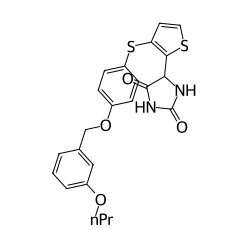 CCCOc1cccc(COc2ccc(Sc3ccsc3C3NC(=O)NC3=O)cc2)c1